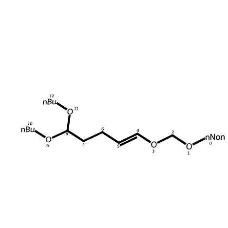 CCCCCCCCCOCOC=CCCC(OCCCC)OCCCC